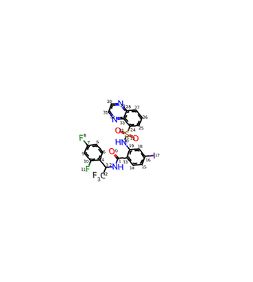 O=C(NC(c1ccc(F)cc1F)C(F)(F)F)c1ccc(I)cc1NS(=O)(=O)c1cccc2nccnc12